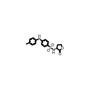 Cc1ccc(Nc2ccc(S(=O)(=O)N[C@H]3CCOC3=O)cc2)cc1